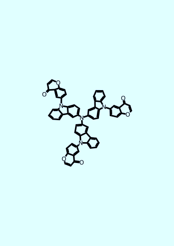 O=c1ccoc2ccc(-n3c4ccccc4c4cc(N(c5ccc6c(c5)c5ccccc5n6-c5ccc6occc(=O)c6c5)c5ccc6c(c5)c5ccccc5n6-c5ccc6occc(=O)c6c5)ccc43)cc12